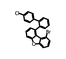 Clc1ccc(-c2ccccc2-c2cccc3oc4cccc(Br)c4c23)cc1